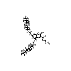 CCOC(=O)c1cc2c(OCCC(F)(F)C(F)(F)C(F)(F)C(F)(F)C(F)(F)C(F)(F)F)cc(OCCC(F)(F)C(F)(F)C(F)(F)C(F)(F)C(F)(F)C(F)(F)F)cc2oc1=O